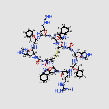 N=CNCCC[C@@H]1NC(=O)[C@@H](Cc2ccccc2)NC(=O)[C@H](Cc2c[nH]cn2)NC(=O)NC(=O)[C@@H]2CSSC(NC(=O)[C@H](Cc3c[nH]c4ccccc34)NC1=O)C(=O)NC(=O)N[C@@H](Cc1c[nH]cn1)C(=O)N[C@H](Cc1ccccc1)C(=O)N[C@@H](CCCNC(=N)N)C(=O)N[C@@H](Cc1c[nH]c3ccccc13)C(=O)N2